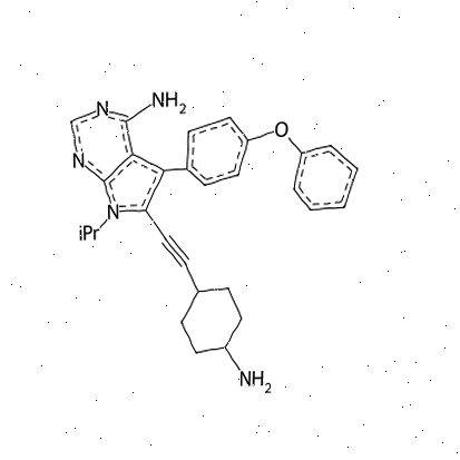 CC(C)n1c(C#CC2CCC(N)CC2)c(-c2ccc(Oc3ccccc3)cc2)c2c(N)ncnc21